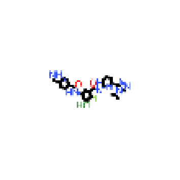 CC(C)n1cnnc1-c1cccc(NC(=O)c2cc(NC(=O)c3ccc(CN)cc3)ccc2F)n1.Cl